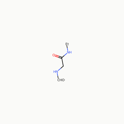 CCNC(=O)CN[C]=O